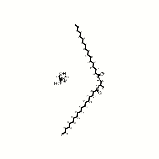 CCCCCCCCCCCCCCCCCC(=O)OCC(C)OC(=O)CCCCCCCCCCCCCCCCC.CNC.OCCO